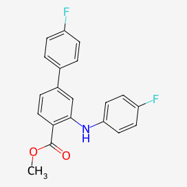 COC(=O)c1ccc(-c2ccc(F)cc2)cc1Nc1ccc(F)cc1